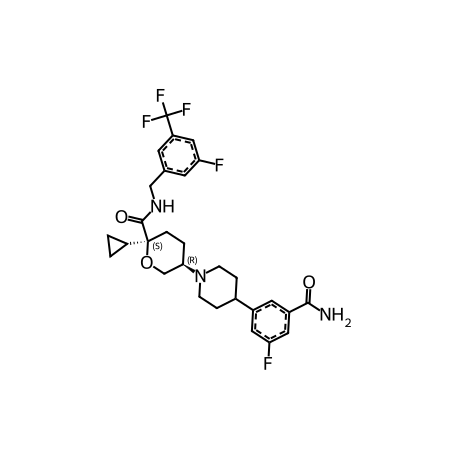 NC(=O)c1cc(F)cc(C2CCN([C@@H]3CC[C@@](C(=O)NCc4cc(F)cc(C(F)(F)F)c4)(C4CC4)OC3)CC2)c1